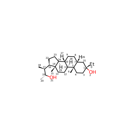 CC[C@@]1(O)CC[C@@]2(C)[C@H](CC[C@@H]3[C@@H]2CC[C@]2(C)[C@@H]([C@H](C)[C@@H](C)O)CC[C@@H]32)C1